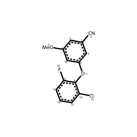 COc1cc(C#N)cc(Oc2c(F)[c]ccc2Cl)c1